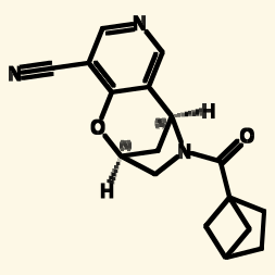 N#Cc1cncc2c1O[C@H]1C[C@@H]2N(C(=O)C23CCC(C2)C3)C1